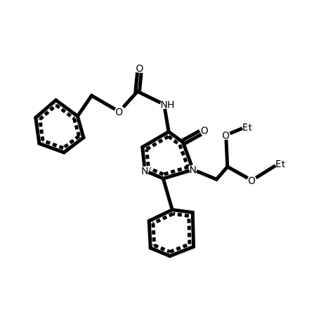 CCOC(Cn1c(-c2ccccc2)ncc(NC(=O)OCc2ccccc2)c1=O)OCC